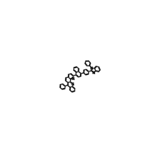 c1ccc(-c2c3ccccc3nc3c2ccc2ccc(-c4ccc(-c5ccc(-c6nc7ccccc7n6-c6ccccc6)cc5)c5ccccc45)nc23)cc1